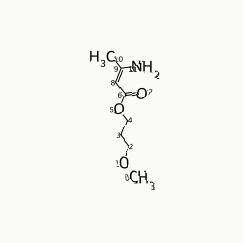 COCCCOC(=O)C=C(C)N